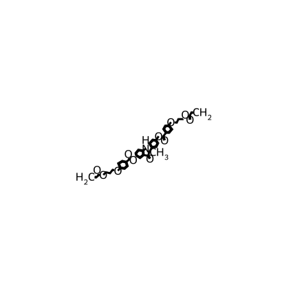 C=CC(=O)OCCCOc1ccc(C(=O)Oc2ccc(C3(C)Nc4ccc(OC(=O)c5ccc(OCCCOC(=O)C=C)cc5)cc4C3=O)cc2)cc1